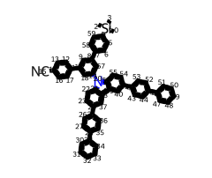 C[Si](C)(C)c1ccc(-c2cc(-c3ccc(C#N)cc3)cc(-n3c4ccc(-c5ccc(-c6ccccc6)cc5)cc4c4cc(-c5ccc(-c6ccccc6)cc5)ccc43)c2)cc1